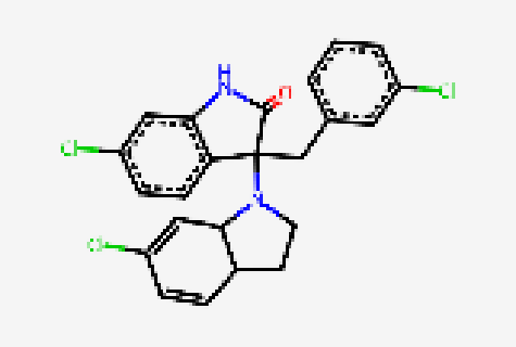 O=C1Nc2cc(Cl)ccc2C1(Cc1cccc(Cl)c1)N1CCC2C=CC(Cl)=CC21